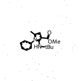 COC(=O)c1cc(C)n(-c2ccccc2)c1NC(C)(C)C